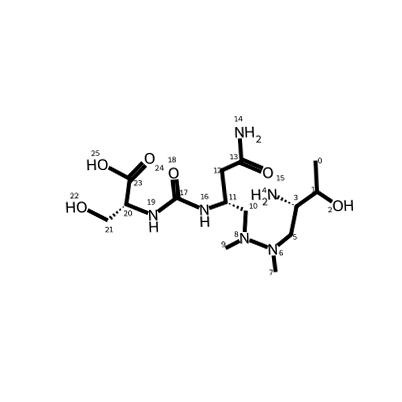 CC(O)[C@@H](N)CN(C)N(C)C[C@@H](CC(N)=O)NC(=O)N[C@H](CO)C(=O)O